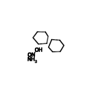 C1CCCCC1.C1CCCCC1.N.O=NO